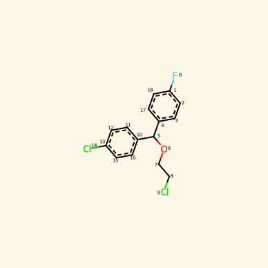 Fc1ccc(C(OCCCl)c2ccc(Cl)cc2)cc1